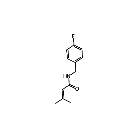 CC(C)=CC(=O)NCc1ccc(F)cc1